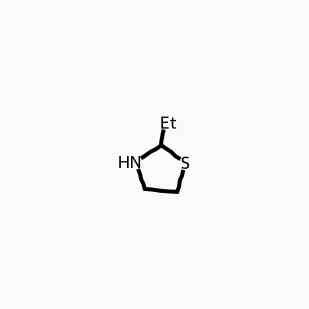 [CH2]CC1NCCS1